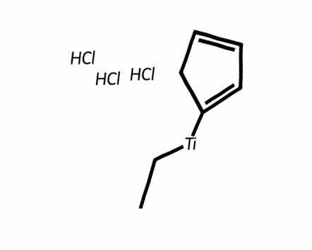 C[CH2][Ti][C]1=CC=CC1.Cl.Cl.Cl